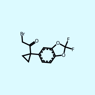 O=C(CBr)C1(c2ccc3c(c2)OC(F)(F)O3)CC1